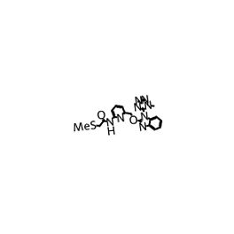 CSCC(=O)Nc1cccc(COc2nc3ccccc3n2-c2nnnn2C)n1